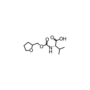 CC(C)[C@H](NC(=O)OCC1CCCO1)C(=O)O